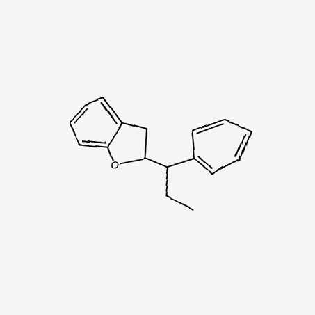 CCC(c1ccccc1)C1Cc2ccccc2O1